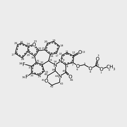 COC(=O)OCOc1c2n(ccc1=O)N(C1c3ccccc3-c3oc4ccccc4c3-c3c1ccc(F)c3F)C1COCCN1C2=O